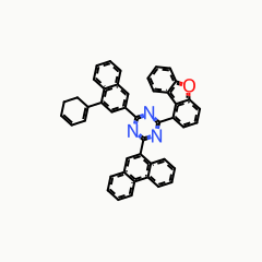 C1=CCCC(c2cc(-c3nc(-c4cc5ccccc5c5ccccc45)nc(-c4cccc5oc6ccccc6c45)n3)cc3ccccc23)=C1